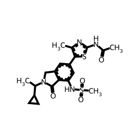 CC(=O)Nc1nc(C)c(-c2cc3c(c(NS(C)(=O)=O)c2)C(=O)N(C(C)C2CC2)C3)s1